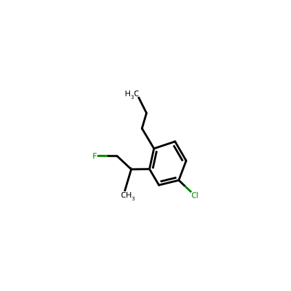 CCCc1ccc(Cl)cc1[C](C)CF